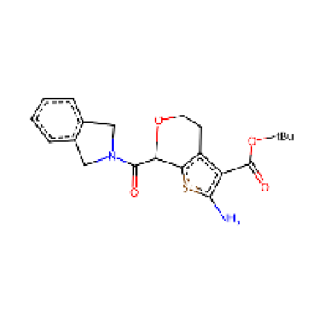 CC(C)(C)OC(=O)c1c(N)sc2c1CCOC2C(=O)N1Cc2ccccc2C1